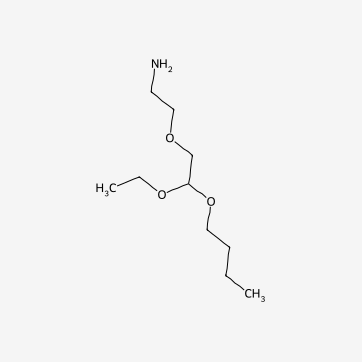 CCCCOC(COCCN)OCC